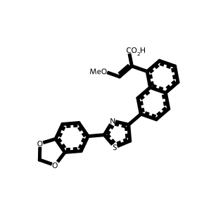 COC=C(C(=O)O)c1cccc2ccc(-c3csc(-c4ccc5c(c4)OCO5)n3)cc12